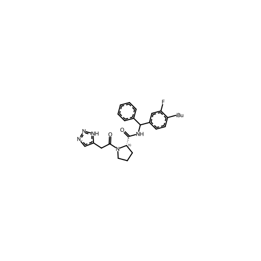 CCC(C)c1ccc(C(NC(=O)[C@@H]2CCCN2C(=O)Cc2cnn[nH]2)c2ccccc2)cc1F